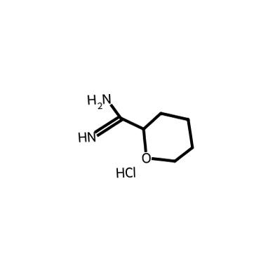 Cl.N=C(N)C1CCCCO1